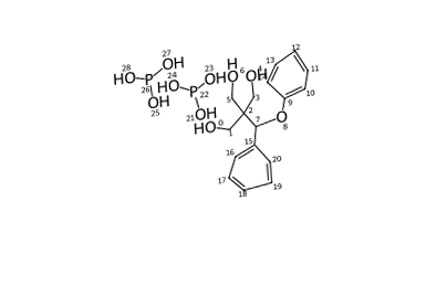 OCC(CO)(CO)C(Oc1ccccc1)c1ccccc1.OP(O)O.OP(O)O